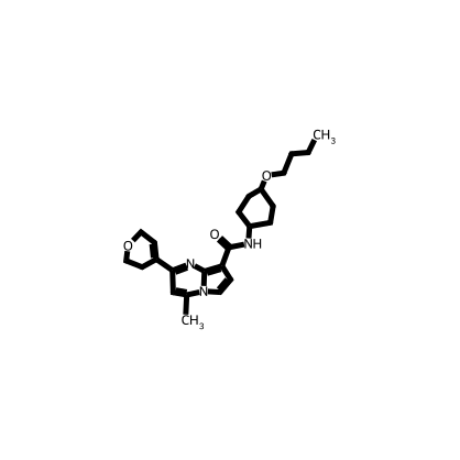 CCCCOC1CCC(NC(=O)c2ccn3c(C)cc(C4=CCOCC4)nc23)CC1